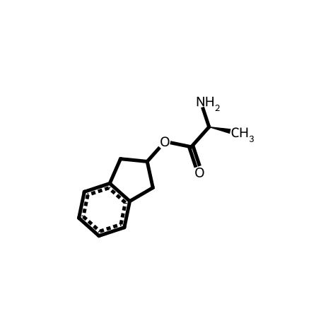 C[C@H](N)C(=O)OC1Cc2ccccc2C1